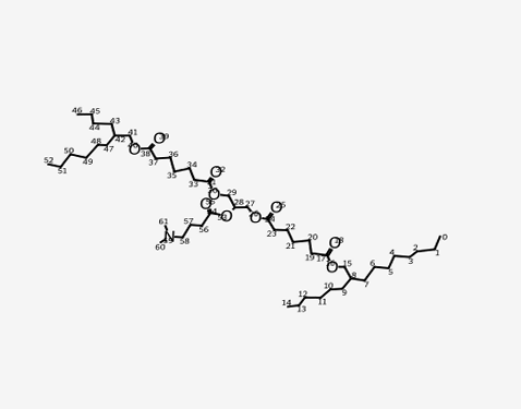 CCCCCCCCC(CCCCCC)COC(=O)CCCCCC(=O)OCC(COC(=O)CCCCCC(=O)OCC(CCCC)CCCCCC)OC(=O)CCCN(C)C